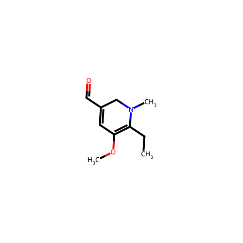 CCC1=C(OC)C=C(C=O)CN1C